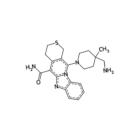 CC1(CN)CCN(c2c3c(c(C(N)=O)c4nc5ccccc5n24)CCSC3)CC1